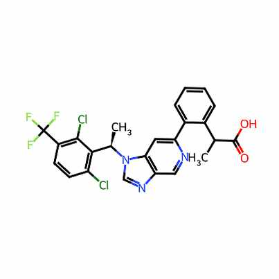 CC(C(=O)O)c1ccccc1-c1cc2c(cn1)ncn2[C@H](C)c1c(Cl)ccc(C(F)(F)F)c1Cl